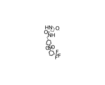 CO[C@H]1CN[C@@H](C(=O)NCc2ccc(S(=O)(=O)c3cccc(C(F)(F)F)c3)cc2)C1